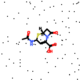 CC(=O)NC1C=C(C(=O)O)N2C(=O)C[C@H]2S1